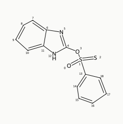 O=S(=S)(Oc1nc2ccccc2[nH]1)c1ccccc1